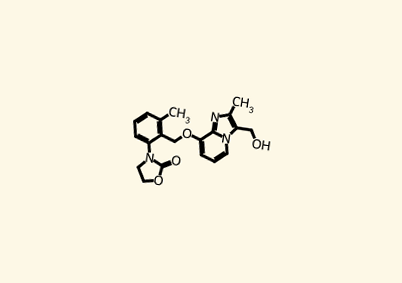 Cc1cccc(N2CCOC2=O)c1COc1cccn2c(CO)c(C)nc12